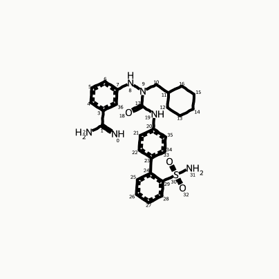 N=C(N)c1cccc(NN(CC2CCCCC2)C(=O)Nc2ccc(-c3ccccc3S(N)(=O)=O)cc2)c1